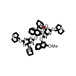 COc1cc(Oc2nc3nc(OCC45CCCN4CCC5)nc(N4CC5CCC(C(C)(C)C)(C4)N5C(=O)Oc4cc(Oc5nc6nc(OCC78CCCN7CCC8)nc(N7CC8CCC(C7)N8)c6n5C)c5ccccc5c4)c3n2C)c2ccccc2c1